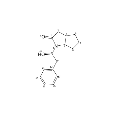 O=C1CC2CCCC2N1[C@H](O)Cc1ccccc1